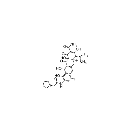 CN(C)C1C(O)=C(C(N)=O)C(=O)[C@@]2(O)C(=O)c3c(cc4c(F)cc(NC(=O)CN5CCCC5)c(O)c4c3O)C[C@@H]12